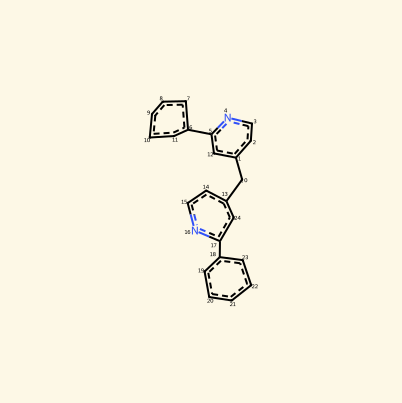 [CH](c1ccnc(-c2ccccc2)c1)c1ccnc(-c2ccccc2)c1